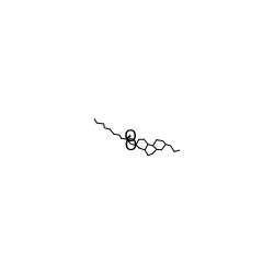 CCCCCCCCC(=O)OC1CCC2C(CCC3CC(CCC)CCC32)C1